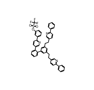 O=S(=O)(Oc1cccc(-c2ccc(-c3ccccc3-c3cc(CCc4ccc(-c5ccccc5)nc4)cc(CCc4ccc(-c5ccccc5)nc4)c3)cn2)c1)C(F)(F)F